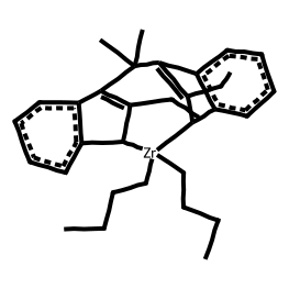 CCC[CH2][Zr]1([CH2]CCC)[CH]2C(CC)=C(c3ccccc32)C(C)(C)C2=C(CC)[CH]1c1ccccc12